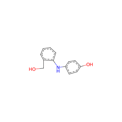 OCc1ccccc1Nc1ccc(O)cc1